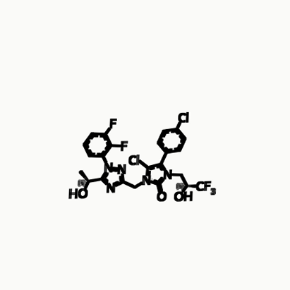 C[C@H](O)c1nc(Cn2c(Cl)c(-c3ccc(Cl)cc3)n(C[C@H](O)C(F)(F)F)c2=O)nn1-c1cccc(F)c1F